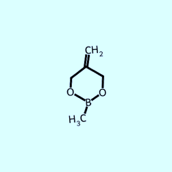 C=C1COB(C)OC1